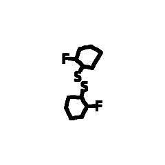 FC1CCCCC1SSC1CCCCC1F